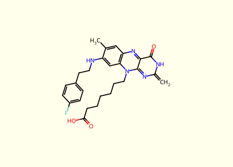 C=c1nc2c(c(=O)[nH]1)=Nc1cc(C)c(NCCc3ccc(F)cc3)cc1N2CCCCCCC(=O)O